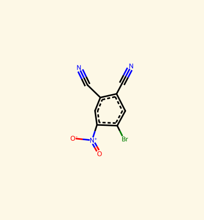 N#Cc1cc(Br)c([N+](=O)[O-])cc1C#N